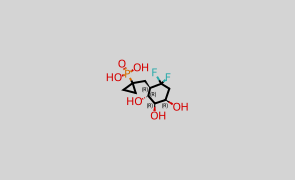 O=P(O)(O)C1(C[C@@H]2[C@@H](O)[C@H](O)[C@H](O)CC2(F)F)CC1